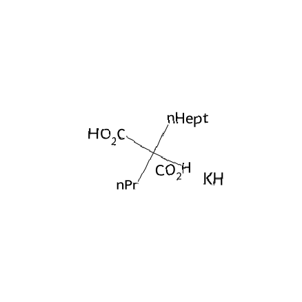 CCCCCCCC(CCC)(C(=O)O)C(=O)O.[KH]